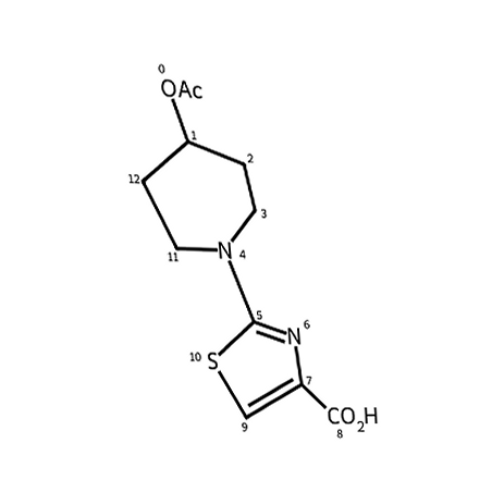 CC(=O)OC1CCN(c2nc(C(=O)O)cs2)CC1